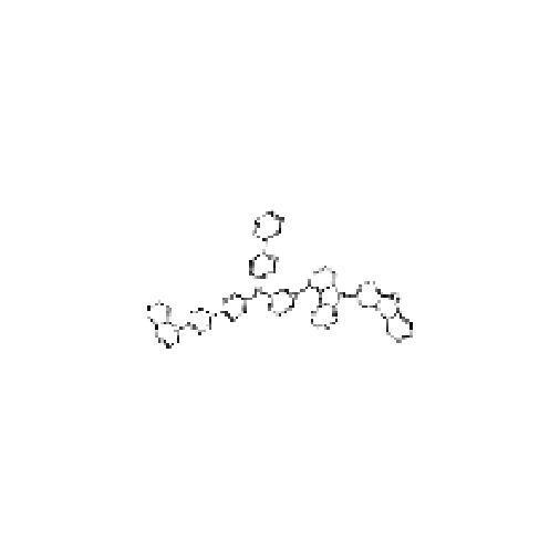 c1ccc(-c2ccc(N(c3ccc(-c4ccc(-c5cccc6ccccc56)cc4)cc3)c3cccc(-c4cccc5c4c4ccccc4n5-c4ccc5oc6ccccc6c5c4)c3)cc2)cc1